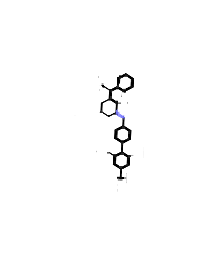 CC1C/C(=C\c2ccc(-c3c(Cl)cc(C(F)(F)F)cc3Cl)cc2)c2nc3ccccc3c(C(=O)O)c2C1